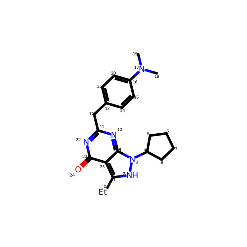 CCc1[nH]n(C2CCCC2)c2nc(Cc3ccc(N(C)C)cc3)nc(=O)c1-2